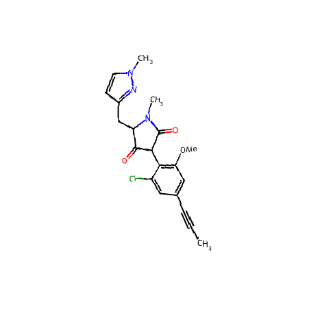 CC#Cc1cc(Cl)c(C2C(=O)C(Cc3ccn(C)n3)N(C)C2=O)c(OC)c1